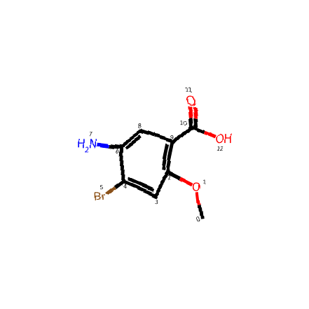 COc1cc(Br)c(N)cc1C(=O)O